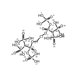 O=P(O)(O)OP(=O)(OCCOP(=O)(OP(=O)(O)O)N(P(=O)(O)O)P(=O)(O)O)N(P(=O)(O)O)P(=O)(O)O